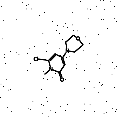 Cn1c(Cl)cc(N2CCOCC2)cc1=O